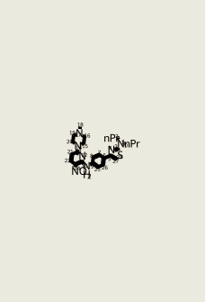 CCCN(CCC)c1nc(-c2ccc(Nc3nc(N4CCN(C)CC4)ccc3[N+](=O)[O-])cc2)cs1